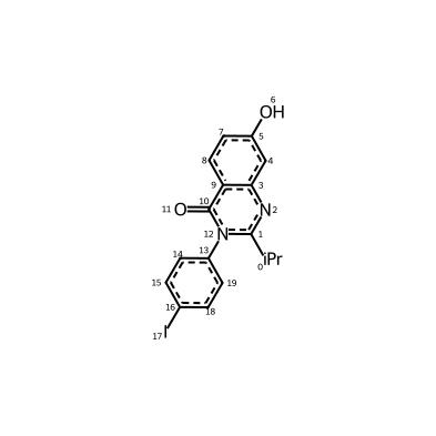 CC(C)c1nc2cc(O)ccc2c(=O)n1-c1ccc(I)cc1